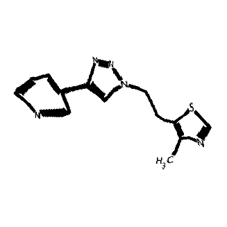 Cc1ncsc1CCn1cc(-c2cccnc2)nn1